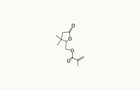 C=C(C)C(=O)OCC1OC(=O)CC1(C)C